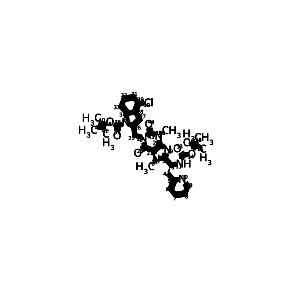 Cn1c([C@@H](Cc2ccccn2)NC(=O)OC(C)(C)C)nc2c1c(=O)n(Cc1cc3c(Cl)cccc3n1C(=O)OC(C)(C)C)c(=O)n2C